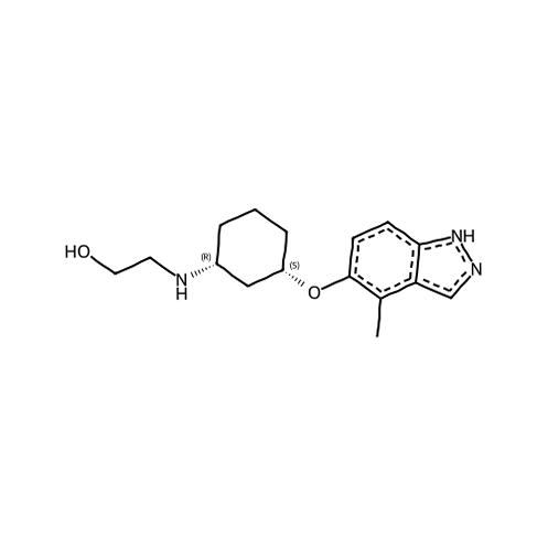 Cc1c(O[C@H]2CCC[C@@H](NCCO)C2)ccc2[nH]ncc12